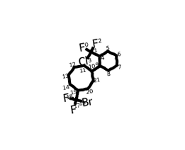 FC(F)(Cl)C1CCCCC1C1CCCCC(C(F)(F)Br)CC1